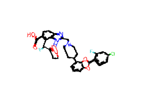 O=C(O)c1ccc2nc(CN3CCC(c4cccc5c4OC(c4ccc(Cl)cc4F)O5)CC3)[nH]c2c1C(F)[C@@H]1CCO1